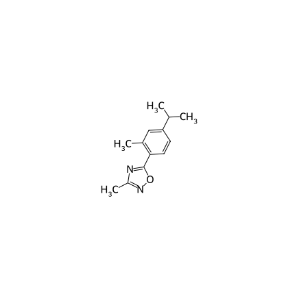 Cc1noc(-c2ccc(C(C)C)cc2C)n1